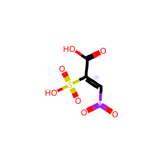 O=C(O)/C(=C/I(=O)=O)S(=O)(=O)O